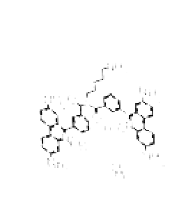 C[n+]1c(-c2cccc(C(=O)N(CCCCCN)C(=O)c3cccc(-c4c5cc(N)ccc5c5ccc(N)cc5[n+]4C)c3)c2)c2cc(N)ccc2c2ccc(N)cc21.[Cl-].[Cl-]